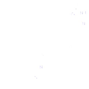 O=C(CCCCOc1ccc2nc3[nH]c(=O)[nH]c3cc2c1)N1CCN(CC2CCCCC2)CC1